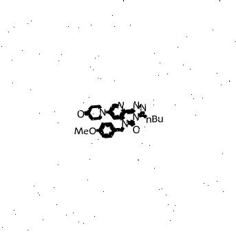 CCCCc1nnc2c3ncc(N4CCC(=O)CC4)cc3n(Cc3ccc(OC)cc3)c(=O)n12